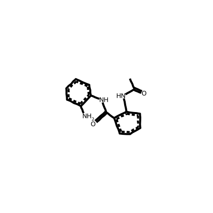 CC(=O)Nc1ccccc1C(=O)Nc1ccccc1N